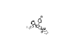 COc1ccccc1-n1nc2c(c1-c1ccc(Cl)cc1)CN(S(=O)(=O)C1CCCC1)C2